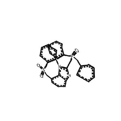 O=P(c1ccccc1)(c1ccccc1)c1nc2cccc3c2n1-c1ccccc1S3(=O)=O